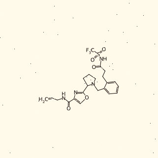 C=CCNC(=O)c1coc(C2CCCN2Cc2ccccc2CCC(=O)NS(=O)(=O)C(F)(F)F)n1